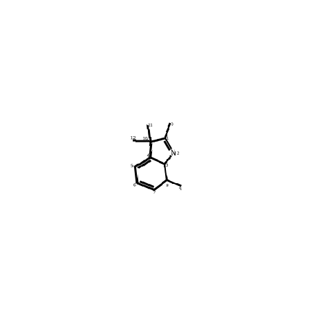 CC1=NC2C(=CC=CC2C)C1(C)C